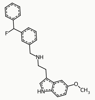 COc1ccc2[nH]cc(CCNCc3cccc(C(F)c4ccccc4)c3)c2c1